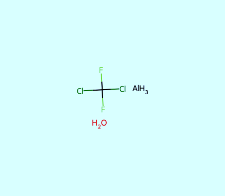 FC(F)(Cl)Cl.O.[AlH3]